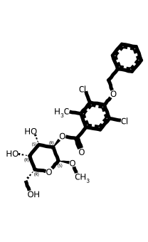 CO[C@H]1O[C@H](CO)[C@H](O)[C@H](O)[C@H]1OC(=O)c1cc(Cl)c(OCc2ccccc2)c(Cl)c1C